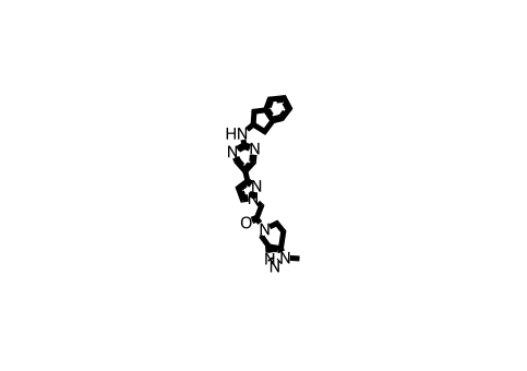 Cn1nnc2c1CCN(C(=O)Cn1ccc(-c3cnc(NC4Cc5ccccc5C4)nc3)n1)C2